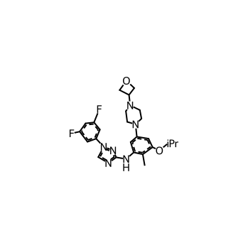 Cc1c(Nc2ncn(-c3cc(F)cc(F)c3)n2)cc(N2CCN(C3COC3)CC2)cc1OC(C)C